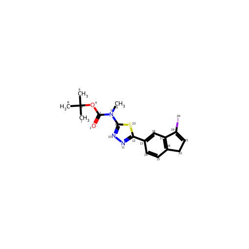 CN(C(=O)OC(C)(C)C)c1nnc(-c2ccc3c(c2)C(I)=CC3)s1